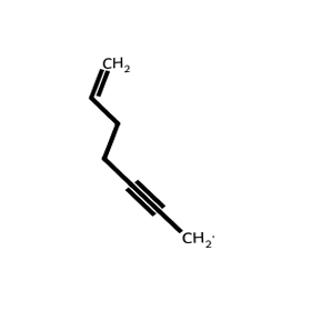 [CH2]C#CCCC=C